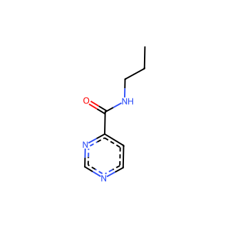 CCCNC(=O)c1ccncn1